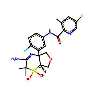 Cc1cc(Cl)cnc1C(=O)Nc1ccc(F)c(C23COC[C@@H]2S(O)(O)C(C)(C)C(N)=N3)c1